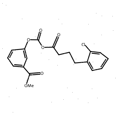 COC(=O)c1cccc(OC(=O)OC(=O)CCCc2ccccc2Cl)c1